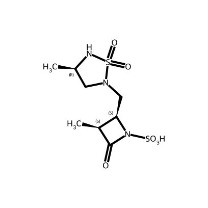 C[C@@H]1CN(C[C@@H]2[C@H](C)C(=O)N2S(=O)(=O)O)S(=O)(=O)N1